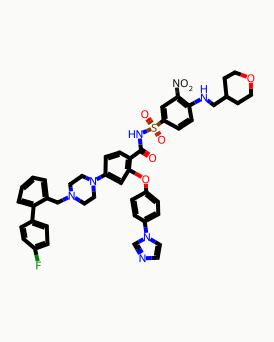 O=C(NS(=O)(=O)c1ccc(NCC2CCOCC2)c([N+](=O)[O-])c1)c1ccc(N2CCN(Cc3ccccc3-c3ccc(F)cc3)CC2)cc1Oc1ccc(-n2ccnc2)cc1